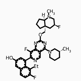 CCc1c(F)ccc2cc(O)cc(-c3ncc4c(N5CCC[C@@H](C)C5)nc(OC[C@]56CCC[C@H]5N(C)C[C@@H](F)C6)nc4c3F)c12